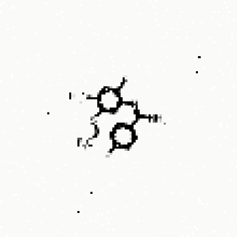 Cc1cc(F)c(/N=C(/N)c2ccc(F)cc2)cc1SCC(F)(F)F